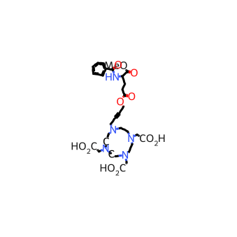 COC(=O)C(CCC(=O)OCC#CCN1CCN(CC(=O)O)CCN(CC(=O)O)CCN(CC(=O)O)CC1)NC(=O)c1ccccc1